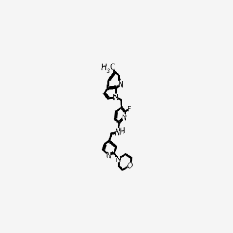 Cc1cnc2c(ccn2Cc2ccc(NCc3ccnc(N4CCOCC4)c3)nc2F)c1